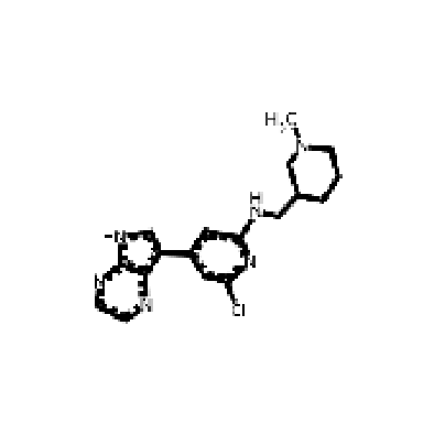 CN1CCCC(CNc2cc(-c3c[nH]c4nccnc34)cc(Cl)n2)C1